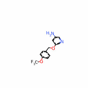 Nc1cncc(OCc2ccc(OC(F)(F)F)cc2)c1